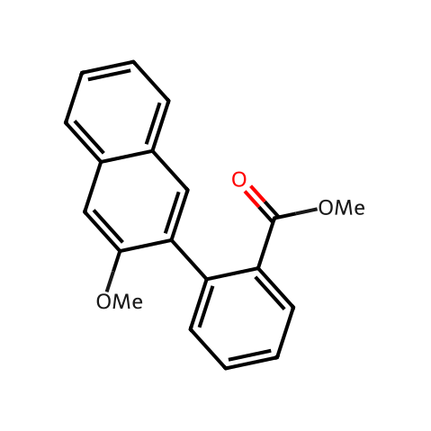 COC(=O)c1ccccc1-c1cc2ccccc2cc1OC